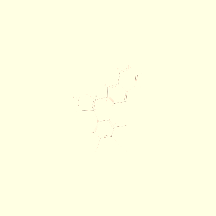 CCc1cc(-c2sncc2-c2ccc3ccncc3c2)cc(CC)c1CC